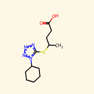 CC(CCC(=O)O)Sc1nnnn1C1CCCCC1